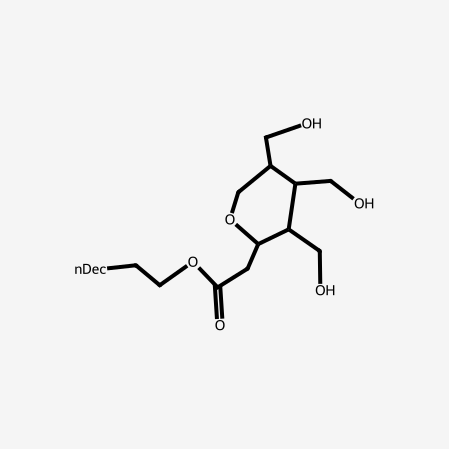 CCCCCCCCCCCCOC(=O)CC1OCC(CO)C(CO)C1CO